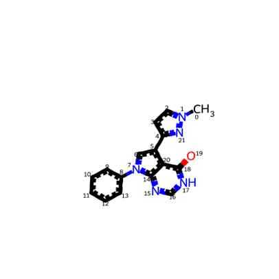 Cn1ccc(-c2cn(-c3ccccc3)c3nc[nH]c(=O)c23)n1